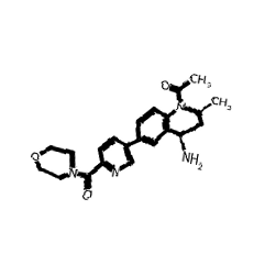 CC(=O)N1c2ccc(-c3ccc(C(=O)N4CCOCC4)nc3)cc2[C@H](N)C[C@@H]1C